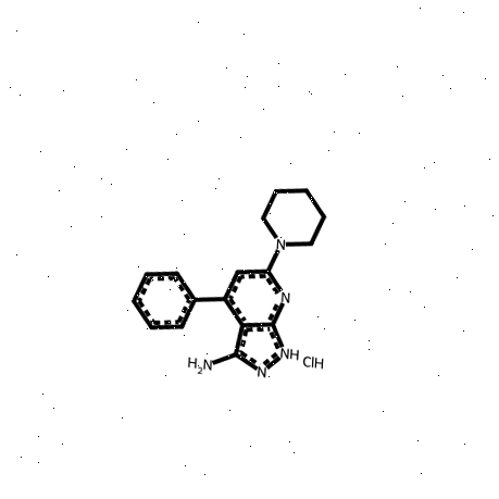 Cl.Nc1n[nH]c2nc(N3CCCCC3)cc(-c3ccccc3)c12